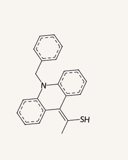 CC(S)=C1c2ccccc2N(Cc2ccccc2)c2ccccc21